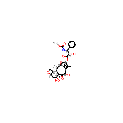 CC1=C2[C@@H](O)C(=O)[C@@]3(C)C([C@H](C)[C@](O)(C[C@@H]1OC(=O)[C@H](O)[C@@H](NC(=O)OC(C)(C)C)c1ccccc1)C2(C)C)[C@]1(C)CO[C@@H]1C[C@@H]3O